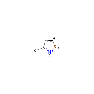 CC1=[N+]SC=C1